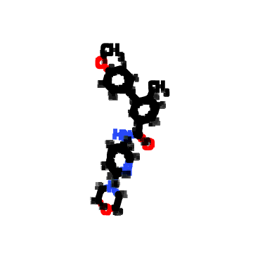 COc1ccc(-c2cc(C(=O)Nc3ccc(N4CCOCC4)nc3)ccc2C)cc1